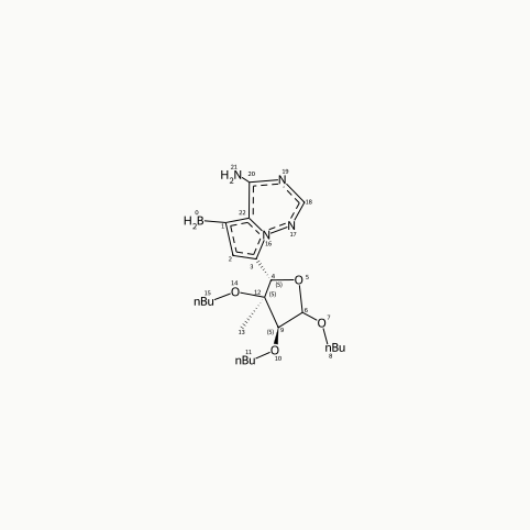 Bc1cc([C@@H]2OC(OCCCC)[C@@H](OCCCC)[C@@]2(C)OCCCC)n2ncnc(N)c12